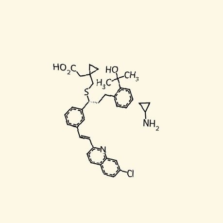 CC(C)(O)c1ccccc1CC[C@@H](SCC1(CC(=O)O)CC1)c1cccc(/C=C/c2ccc3ccc(Cl)cc3n2)c1.NC1CC1